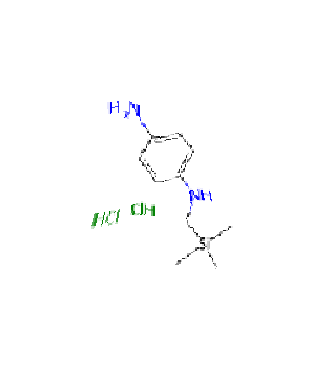 C[Si](C)(C)CNc1ccc(N)cc1.Cl.Cl